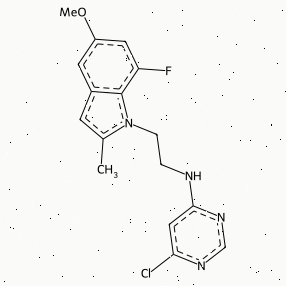 COc1cc(F)c2c(c1)cc(C)n2CCNc1cc(Cl)ncn1